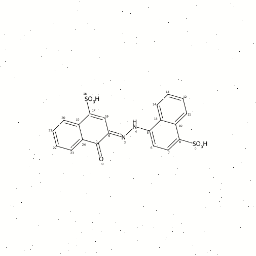 O=C1/C(=N/Nc2ccc(S(=O)(=O)O)c3ccccc23)C=C(S(=O)(=O)O)c2ccccc21